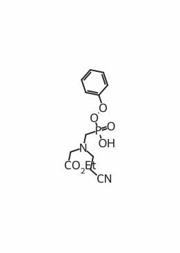 CCOC(=O)CN(CCC#N)CP(=O)(O)OOc1ccccc1